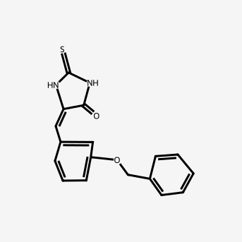 O=C1NC(=S)N/C1=C/c1cccc(OCc2ccccc2)c1